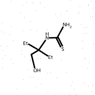 CCC(CC)(CO)NC(N)=S